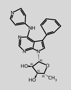 C[C@H]1O[C@@H](n2cc(-c3ccccc3)c3c(Nc4ccncc4)ncnc32)[C@H](O)[C@@H]1O